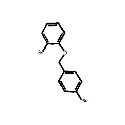 CCC(C)c1ccc(COc2ccccc2C(C)=O)cc1